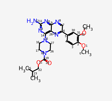 COc1ccc(-c2cnc3nc(N)nc(N4CCN(C(=O)OCC(C)C)CC4)c3n2)cc1OC